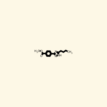 CCCCc1nc(-c2ccc(C(=O)OC)cc2)n[nH]1